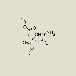 CCOC(=O)CC(O)(CC(=O)ON)C(=O)OCC